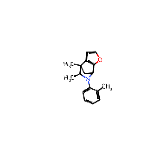 Cc1ccccc1N1C2CC(C)(c3ccoc32)[C@@H]1C